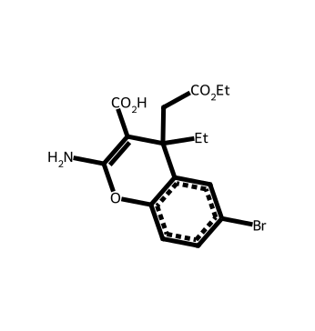 CCOC(=O)CC1(CC)C(C(=O)O)=C(N)Oc2ccc(Br)cc21